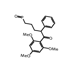 COc1cc(OC)c(C(=O)C(CCCP=O)c2ccccc2)c(OC)c1